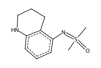 CS(C)(=O)=Nc1cccc2c1CCCN2